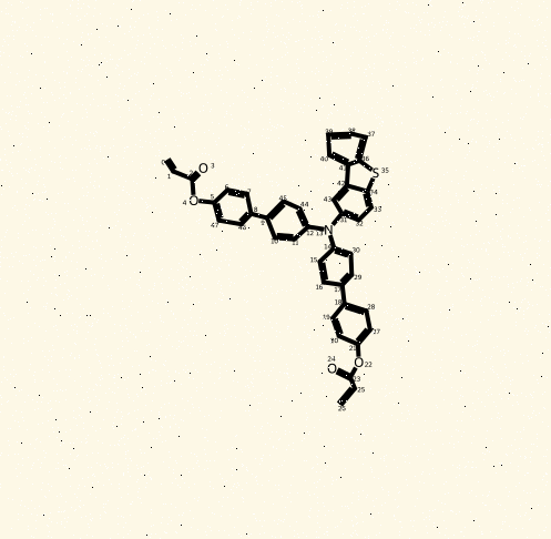 C=CC(=O)Oc1ccc(-c2ccc(N(c3ccc(-c4ccc(OC(=O)C=C)cc4)cc3)c3ccc4sc5ccccc5c4c3)cc2)cc1